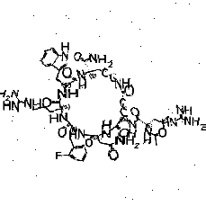 CC(=O)N[C@@H](CCCNC(=N)N)C(=O)N[C@H]1CCC(=O)NCCC[C@@H](C(N)=O)NC(=O)[C@H](Cc2c[nH]c3ccccc23)NC(=O)[C@H](CCCNC(=N)N)NC(=O)[C@@H](Cc2ccccc2F)NC(=O)[C@H](CC(N)=O)NC1=O